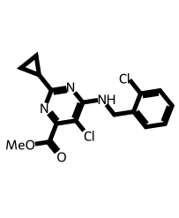 COC(=O)c1nc(C2CC2)nc(NCc2ccccc2Cl)c1Cl